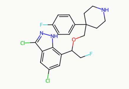 FCC(OCC1(c2ccc(F)cc2)CCNCC1)c1cc(Cl)cc2c(Cl)n[nH]c12